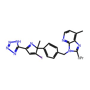 CCCc1nc2c(C)ccnc2n1Cc1ccc(C2(C)N=C(c3nnn[nH]3)C=C2I)cc1